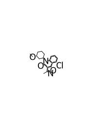 CO[C@@H]1CCC[C@H](n2c(=O)c3c(C)noc3c3c(Cl)cccc32)C1